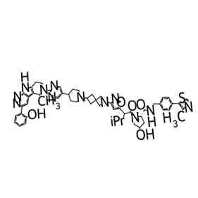 Cc1ncsc1-c1ccc(CNC(=O)[C@@H]2C[C@@H](O)CN2C(=O)C(c2cc(N3CC4(CC(N5CCC(c6cnc(N7CCc8[nH]c9nnc(-c%10ccccc%10O)cc9c8[C@@H]7C)nc6)CC5)C4)C3)no2)C(C)C)cc1